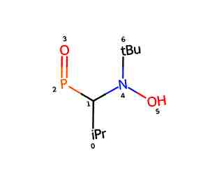 CC(C)C(P=O)N(O)C(C)(C)C